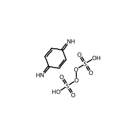 N=C1C=CC(=N)C=C1.O=S(=O)(O)OOS(=O)(=O)O